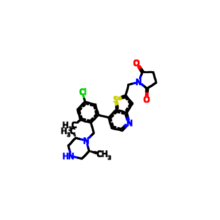 Cc1cc(Cl)cc(-c2ccnc3cc(CN4C(=O)CCC4=O)sc23)c1CN1[C@@H](C)CNC[C@@H]1C